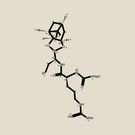 CCCCCCCC(=O)N[C@@H](CCCNC(=N)NC)C(=O)N[C@@H](CC(C)C)B1O[C@@H]2C[C@@H]3C[C@@H](C3(C)C)[C@]2(C)O1